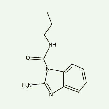 CCCNC(=O)n1c(N)nc2ccccc21